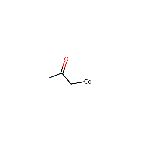 CC(=O)[CH2][Co]